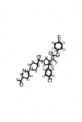 CC(=O)C1C=NC(N2CCC(C(=O)N3C[C@@H](N(C)C(=O)Oc4ccc(F)cc4)[C@](C)(c4ccc(Cl)cc4)C3)CC2)=CC1